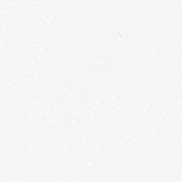 NCCCC(=O)OC(=O)c1ccc(Cl)cc1O